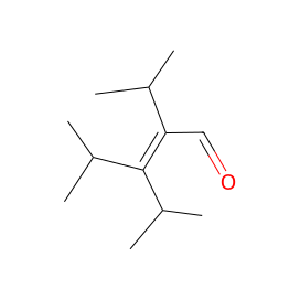 CC(C)C(C=O)=C(C(C)C)C(C)C